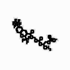 CC(CO[N+](=O)[O-])OC(=O)OCOC(=O)C1=Cc2cc(S(F)(F)(F)(F)F)ccc2O[C@@H]1C(F)(F)F